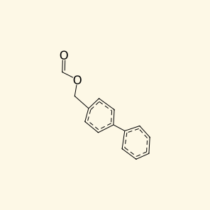 O=COCc1ccc(-c2ccccc2)cc1